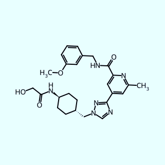 COc1cccc(CNC(=O)c2cc(-c3ncn(C[C@H]4CC[C@H](NC(=O)CO)CC4)n3)cc(C)n2)c1